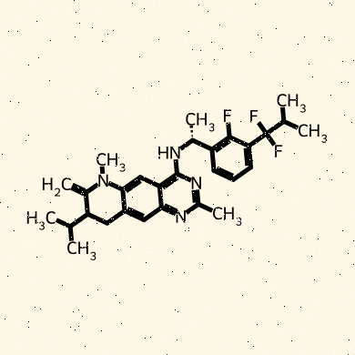 C=C1C(C(C)C)Cc2cc3nc(C)nc(N[C@H](C)c4cccc(C(F)(F)C(C)C)c4F)c3cc2N1C